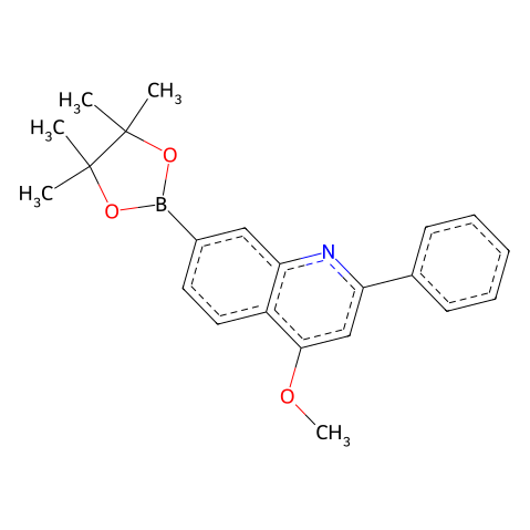 COc1cc(-c2ccccc2)nc2cc(B3OC(C)(C)C(C)(C)O3)ccc12